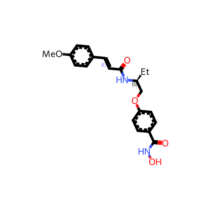 CC[C@@H](COc1ccc(C(=O)NO)cc1)NC(=O)/C=C/c1ccc(OC)cc1